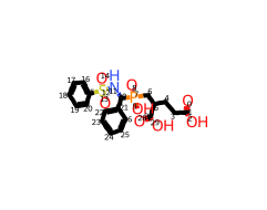 O=C(O)CCC(CP(=O)(O)C(NS(=O)(=O)c1ccccc1)c1ccccc1)C(=O)O